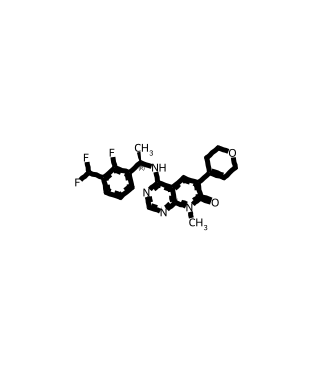 C[C@@H](Nc1ncnc2c1cc(C1=CCOCC1)c(=O)n2C)c1cccc(C(F)F)c1F